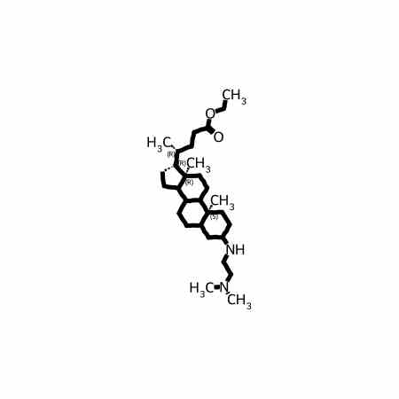 CCOC(=O)CC[C@@H](C)[C@H]1CCC2C3CCC4CC(NCCN(C)C)CC[C@]4(C)C3CC[C@@]21C